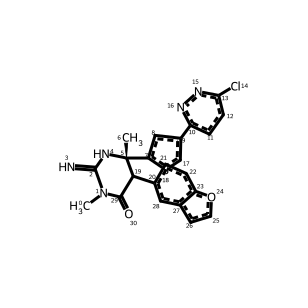 CN1C(=N)N[C@](C)(c2cc(-c3ccc(Cl)nn3)cs2)C(c2ccc3occc3c2)C1=O